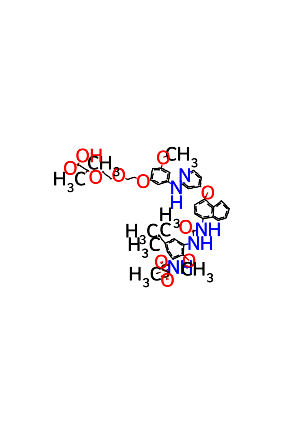 COc1cc(Nc2cc(Oc3ccc(NC(=O)Nc4cc(C(C)(C)C)cc(NS(C)(=O)=O)c4OC)c4ccccc34)ccn2)cc(OCCOCCOC(C)(C)C(=O)O)c1